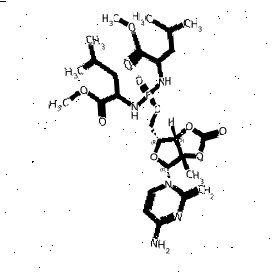 C=C1N=C(N)C=CN1[C@@H]1O[C@H](COP(=O)(NC(CC(C)C)C(=O)OC)NC(CC(C)C)C(=O)OC)[C@@H]2OC(=O)OC21C